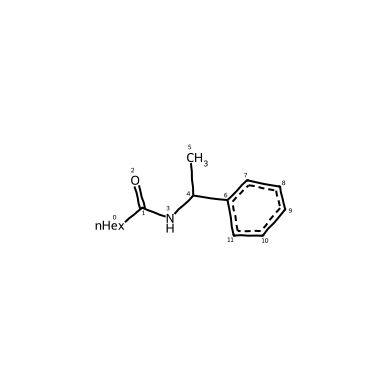 CCCCCCC(=O)NC(C)c1ccccc1